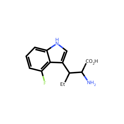 CCC(c1c[nH]c2cccc(F)c12)C(N)C(=O)O